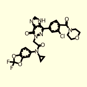 O=C(c1ccc(-c2nn(CC(=O)N(c3ccc4c(c3)OC(F)(F)O4)C3CC3)c(=O)c3nc[nH]c23)cc1Cl)N1CCOCC1